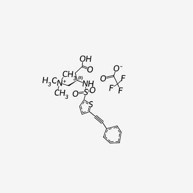 C[N+](C)(C)C[C@@H](CC(=O)O)NS(=O)(=O)c1ccc(C#Cc2ccccc2)s1.O=C([O-])C(F)(F)F